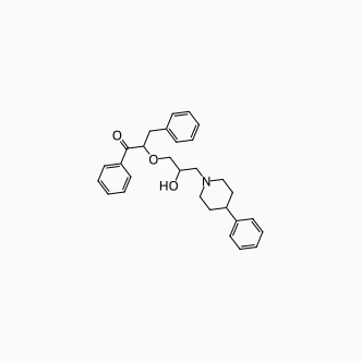 O=C(c1ccccc1)C(Cc1ccccc1)OCC(O)CN1CCC(c2ccccc2)CC1